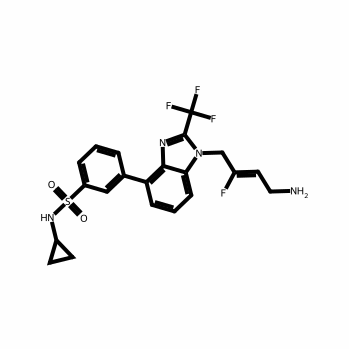 NCC=C(F)Cn1c(C(F)(F)F)nc2c(-c3cccc(S(=O)(=O)NC4CC4)c3)cccc21